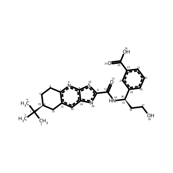 CC(C)(C)[C@H]1CCc2nc3sc(C(=O)N[C@H](CCO)c4cccc(C(=O)O)c4)nc3cc2C1